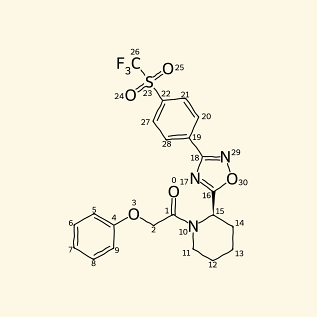 O=C(COc1ccccc1)N1CCCC[C@@H]1c1nc(-c2ccc(S(=O)(=O)C(F)(F)F)cc2)no1